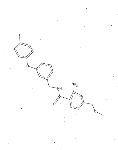 COCc1ccc(C(=O)NCc2cccc(Oc3ccc(I)cc3)c2)c(N)n1